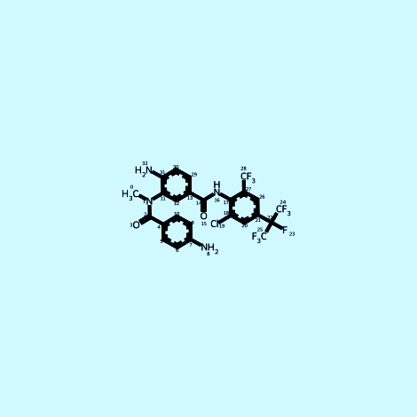 CN(C(=O)c1ccc(N)cc1)c1cc(C(=O)Nc2c(Cl)cc(C(F)(C(F)(F)F)C(F)(F)F)cc2C(F)(F)F)ccc1N